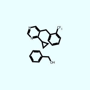 FC(F)(F)c1ccccc1Cc1cncnc1C1CC1.OCc1ccccc1